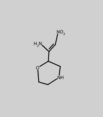 NC(=C[N+](=O)[O-])C1CNCCO1